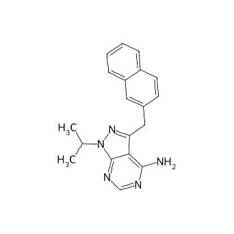 CC(C)n1nc(Cc2ccc3ccccc3c2)c2c(N)ncnc21